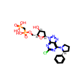 O=P(O)(O)CP(=O)(O)OC[C@H]1O[C@@H](n2nnc3c(N4CCC[C@@H]4c4ccccc4)nc(Cl)nc32)C[C@@H]1O